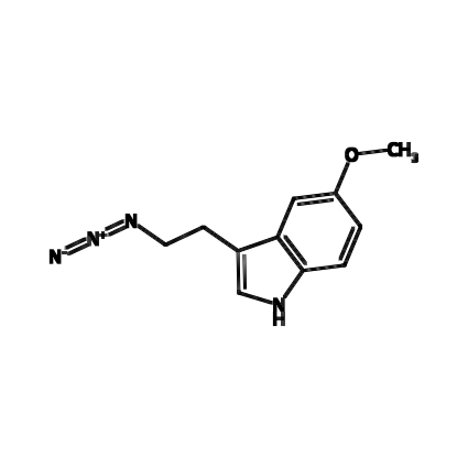 COc1ccc2[nH]cc(CCN=[N+]=[N-])c2c1